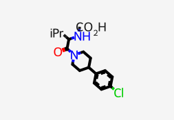 CC(C)C(NC(=O)O)C(=O)N1CCC(c2ccc(Cl)cc2)CC1